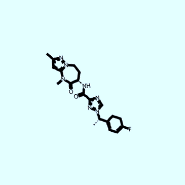 Cc1cc2n(n1)CC[C@H](NC(=O)c1ncn([C@@H](C)C3=CC=C(F)CC3)n1)C(=O)N2C